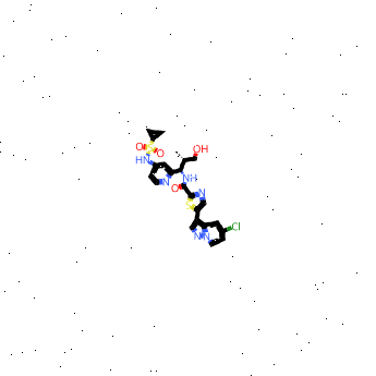 C[C@H](CO)[C@@H](NC(=O)c1ncc(-c2cnn3ccc(Cl)cc23)s1)c1cc(NS(=O)(=O)C2CC2)ccn1